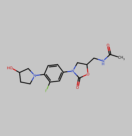 CC(=O)NCC1CN(c2ccc(N3CCC(O)C3)c(F)c2)C(=O)O1